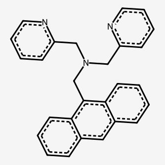 c1ccc(CN(Cc2ccccn2)Cc2c3ccccc3cc3ccccc23)nc1